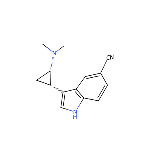 CN(C)[C@H]1C[C@H]1c1c[nH]c2ccc(C#N)cc12